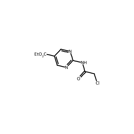 CCOC(=O)c1cnc(NC(=O)CCl)nc1